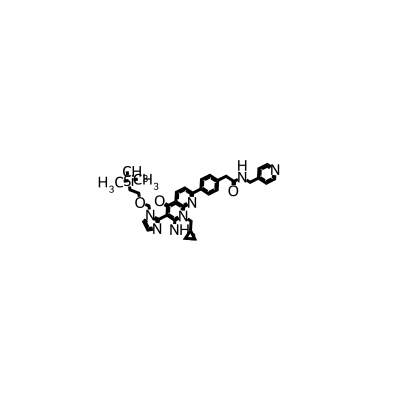 C[Si](C)(C)CCOCn1ccnc1-c1c(N)n(CC2CC2)c2nc(-c3ccc(CC(=O)NCc4ccncc4)cc3)ccc2c1=O